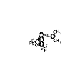 Cc1cc(C)cc(COc2cccc(NCC(O)C(F)(F)F)c2Cc2cc(C(F)(F)F)ccc2F)c1